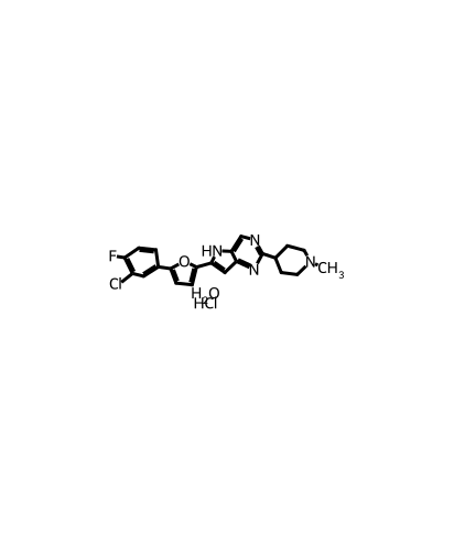 CN1CCC(c2ncc3[nH]c(-c4ccc(-c5ccc(F)c(Cl)c5)o4)cc3n2)CC1.Cl.O